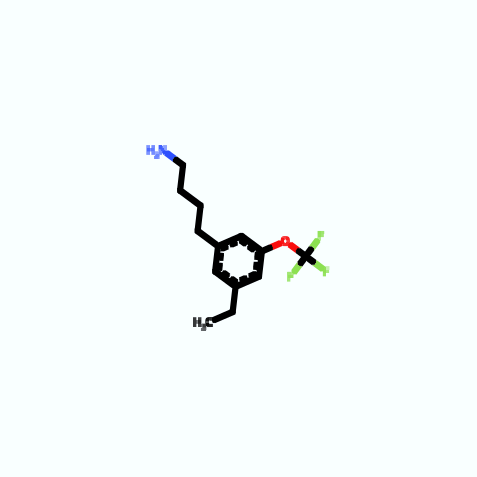 CCc1cc(CCCCN)cc(OC(F)(F)F)c1